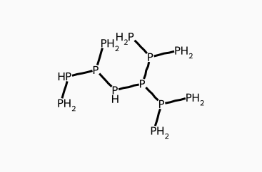 PPP(P)PP(P(P)P)P(P)P